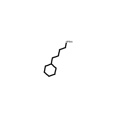 CCCCCCCCCC[C]1CCCCC1